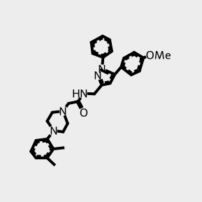 COc1ccc(-c2cc(CNC(=O)CN3CCN(c4cccc(C)c4C)CC3)nn2-c2ccccc2)cc1